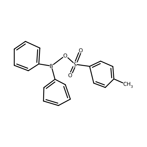 Cc1ccc(S(=O)(=O)OB(c2ccccc2)c2ccccc2)cc1